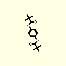 CC(C)(C)C(=O)Oc1ccc(OC(=O)C(C)(C)C)cc1